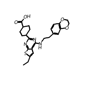 CCc1cc2c(NCCc3ccc4c(c3)OCCO4)nc(C3CCC(C(=O)O)CC3)nc2s1